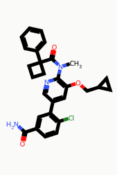 CN(C(=O)C1(c2ccccc2)CCC1)c1ncc(-c2cc(C(N)=O)ccc2Cl)cc1OCC1CC1